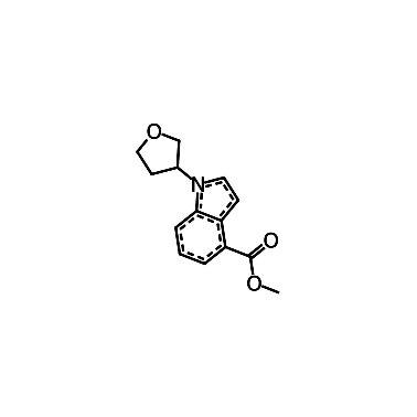 COC(=O)c1cccc2c1ccn2C1CCOC1